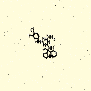 CCC(Nc1nc(N)nc(Nc2ccc(OC)c(F)c2)n1)(C1C=CCCC1)C1CCCN1